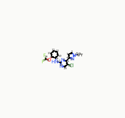 CC(C)n1ccc(-c2nc(Nc3cc[c]cc3OC(F)F)ncc2Cl)n1